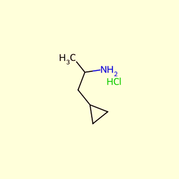 CC(N)CC1CC1.Cl